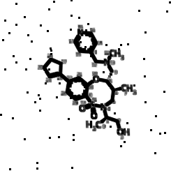 C[C@H](CO)N1C[C@H](C)[C@@H](CN(C)Cc2ccncc2)Oc2cc(C3=CCCC3)ccc2S1(=O)=O